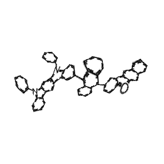 c1ccc(-n2c3ccccc3c3cc4c5cc(-c6c7ccccc7c(-c7ccc8oc9cc%10ccccc%10cc9c8c7)c7ccccc67)ccc5n(-c5ccccc5)c4cc32)cc1